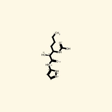 CCCCC(NC(=O)O)[C@H](O)C(=O)Nc1ccn[nH]1